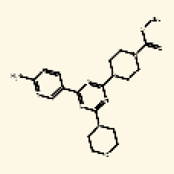 CC(C)(C)OC(=O)N1CCN(c2nc(-c3ccc(N)nc3)nc(N3CCOCC3)n2)CC1